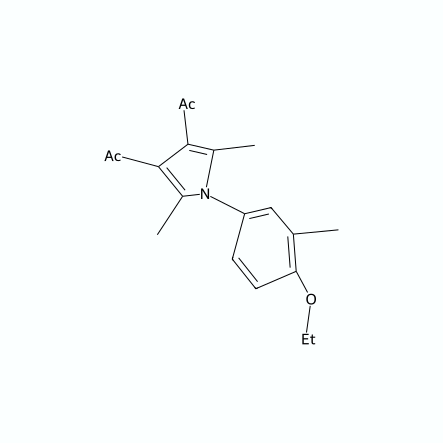 CCOc1ccc(-n2c(C)c(C(C)=O)c(C(C)=O)c2C)cc1C